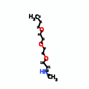 CCCOCCOCCOCCNC